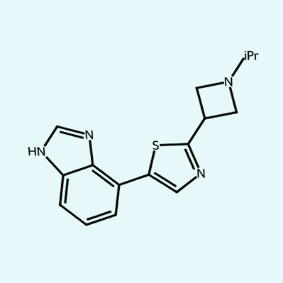 CC(C)N1CC(c2ncc(-c3cccc4[nH]cnc34)s2)C1